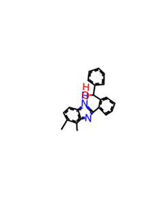 Cc1ccc2[nH]c(-c3ccccc3C(O)c3ccccc3)nc2c1C